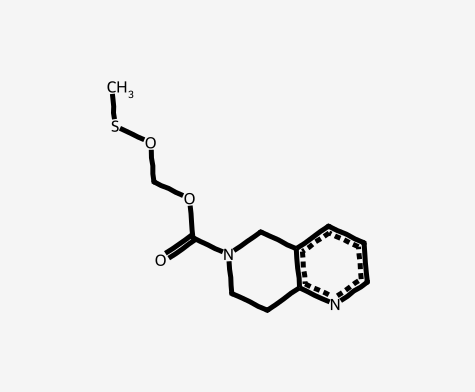 CSOCOC(=O)N1CCc2ncccc2C1